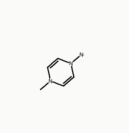 CN1C=CN([N])C=C1